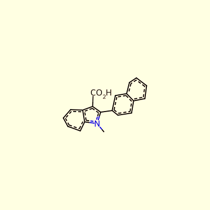 Cn1c(-c2ccc3ccccc3c2)c(C(=O)O)c2ccccc21